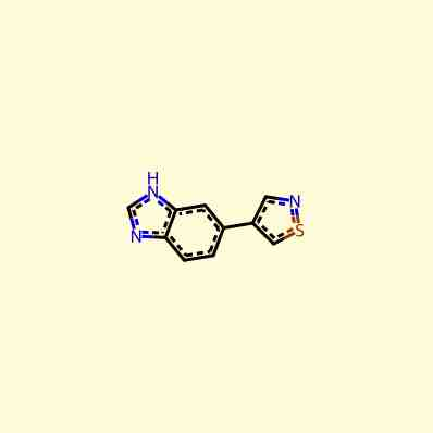 c1nc2ccc(-c3cnsc3)cc2[nH]1